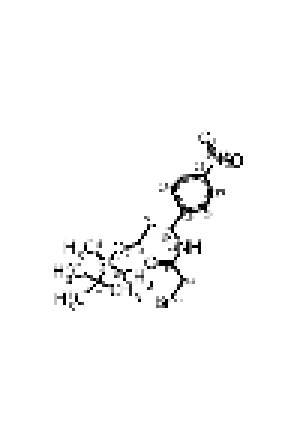 CC(C)(C)[Si](C)(C)OCC[C@@H](NC(=O)CBr)c1ccc([N+](=O)[O-])cc1